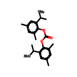 COC(C)c1cc(C)cc(C)c1OC(=O)Oc1c(C)cc(C)cc1C(C)OC